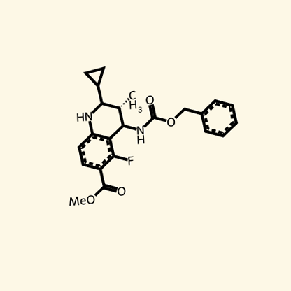 COC(=O)c1ccc2c(c1F)C(NC(=O)OCc1ccccc1)[C@@H](C)C(C1CC1)N2